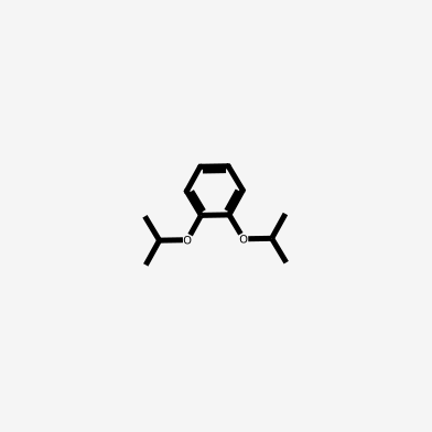 CC(C)Oc1ccccc1OC(C)C